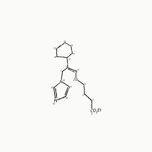 CCOC(=O)CCCON=C(Cn1ccnc1)C1CCCCC1